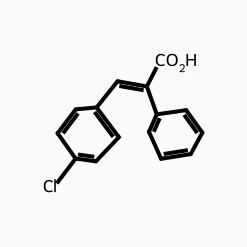 O=C(O)/C(=C/c1ccc(Cl)cc1)c1ccccc1